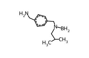 BN(Cc1ccc(CN)cc1)CC(C)C